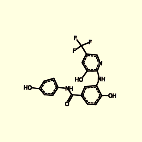 O=C(Nc1ccc(O)cc1)c1ccc(O)c(Nc2ncc(C(F)(F)F)cc2O)c1